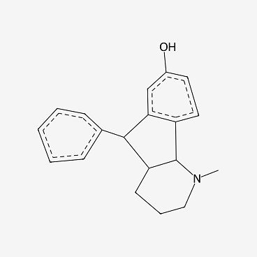 CN1CCCC2C(c3ccccc3)c3cc(O)ccc3C21